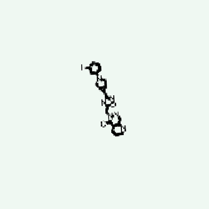 O=c1c2cccnc2cnn1Cc1nc(C2C3CN(c4cccc(F)c4)CC32)no1